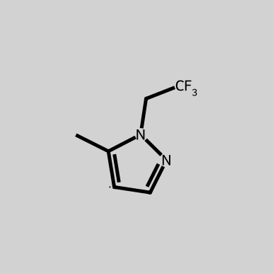 Cc1[c]cnn1CC(F)(F)F